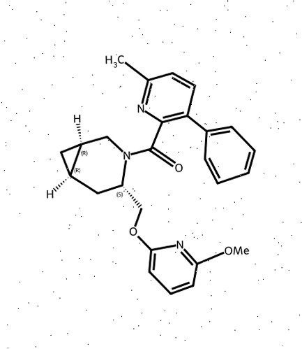 COc1cccc(OC[C@@H]2C[C@H]3C[C@H]3CN2C(=O)c2nc(C)ccc2-c2ccccc2)n1